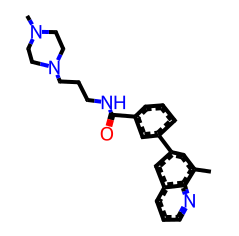 Cc1cc(-c2cccc(C(=O)NCCCN3CCN(C)CC3)c2)cc2cccnc12